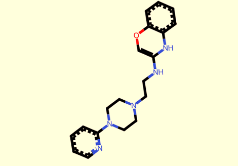 C1=C(NCCN2CCN(c3ccccn3)CC2)Nc2ccccc2O1